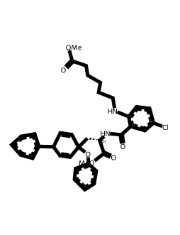 COC(=O)CCCCCNc1ccc(Cl)cc1C(=O)N[C@@H](CC1(Oc2ccccc2)C=CC(c2ccccc2)C=C1)C(=O)OC